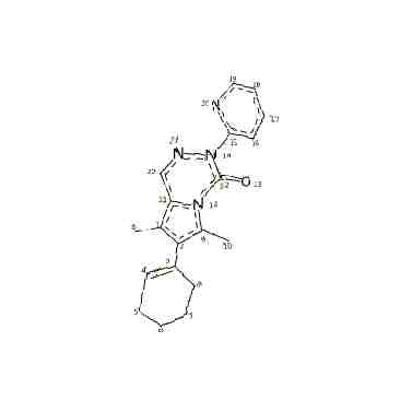 Cc1c(C2=CCCCC2)c(C)n2c(=O)n(-c3ccccn3)ncc12